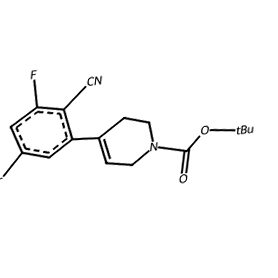 CC(C)c1cc(F)c(C#N)c(C2=CCN(C(=O)OC(C)(C)C)CC2)c1